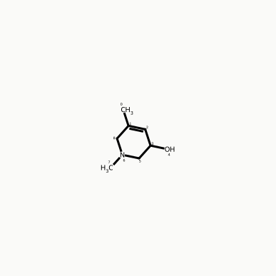 CC1=CC(O)CN(C)C1